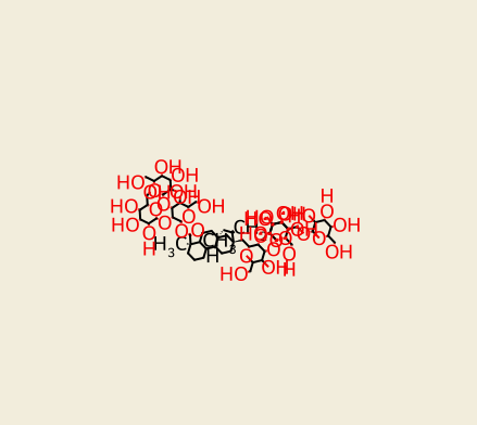 C=C1C[C@@]23CCC4[C@](C)(C(=O)OC5OC(CO)C(O)C(OC6OC(CO)C(O)C(O)C6O)C5OC5OC(CO)C(O)C(O)C5O)CCC[C@@]4(C)[C@@H]2CC[C@]1(CC1OC(CO)C(O)C(OC2OC(COC4OC(CO)C(O)C(O)C4O)C(O)C(O)C2O)C1OC1OC(CO)C(O)C(O)C1O)C3